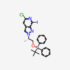 C[C@@H](CO[Si](c1ccccc1)(c1ccccc1)C(C)(C)C)n1cc2cc(Cl)nc(I)c2n1